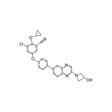 N#Cc1cc(Oc2ccc(-c3ccc4nc(N5CC(O)C5)cnc4c3)cc2)cc(Cl)c1OC1CC1